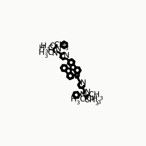 CC1(C)N=C(c2ccc(-c3ccc4c(c3)C3(c5ccccc5-c5ccccc53)c3c-4ccc4cc(-c5ccc(C6=NC(C)(C)C(C)(C)N6c6ccccc6)cn5)ccc34)nc2)N(c2ccccc2)C1(C)C